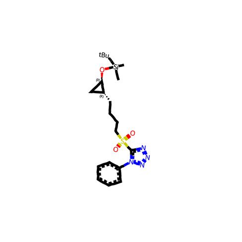 CC(C)(C)[Si](C)(C)O[C@@H]1C[C@H]1CCCCS(=O)(=O)c1nnnn1-c1ccccc1